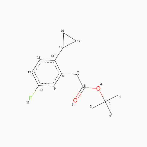 CC(C)(C)OC(=O)[CH]c1cc(F)ccc1C1CC1